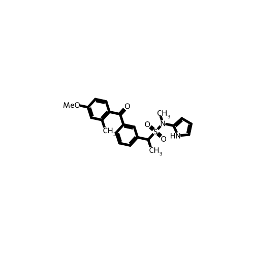 COc1ccc(C(=O)c2cccc(C(C)S(=O)(=O)N(C)c3ccc[nH]3)c2)c(C)c1